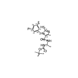 CC(NC(=O)OC(C)(C)C)NC(=O)c1cnc(S)n1Cc1cc(F)cc(F)c1